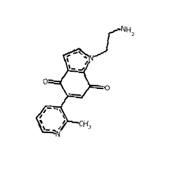 Cc1ncccc1C1=CC(=O)c2c(ccn2CCN)C1=O